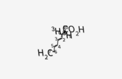 [3H]C(C=CC=CC=C)=C([3H])C(=O)O